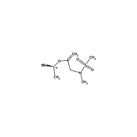 C=C(CN(C)S(C)(=O)=O)O[C@@H](C)C(C)(C)C